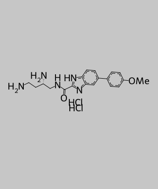 COc1ccc(-c2ccc3[nH]c(C(=O)NC[C@@H](N)CCN)nc3c2)cc1.Cl.Cl